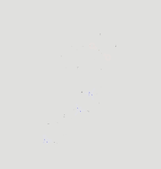 O=S(=O)(c1ccccc1)C(CCCN1CCN(CCc2ccncc2)CC1)c1ccccc1